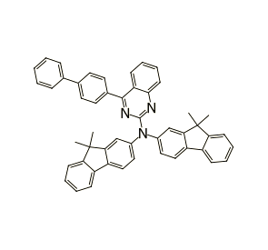 CC1(C)c2ccccc2-c2ccc(N(c3ccc4c(c3)C(C)(C)c3ccccc3-4)c3nc(-c4ccc(-c5ccccc5)cc4)c4ccccc4n3)cc21